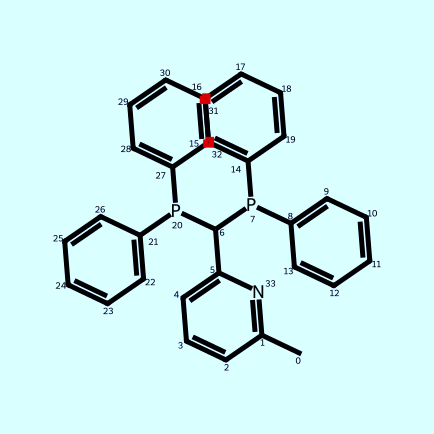 Cc1cccc(C(P(c2ccccc2)c2ccccc2)P(c2ccccc2)c2ccccc2)n1